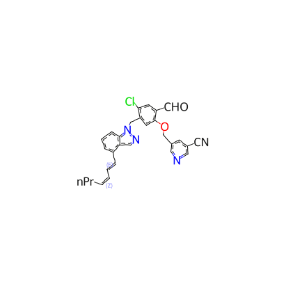 CCC/C=C\C=C\c1cccc2c1cnn2Cc1cc(OCc2cncc(C#N)c2)c(C=O)cc1Cl